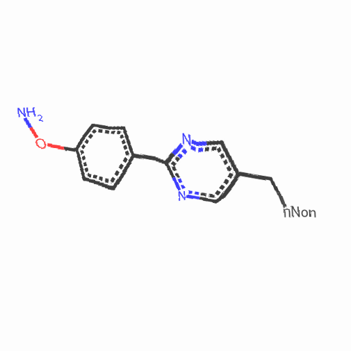 CCCCCCCCCCc1cnc(-c2ccc(ON)cc2)nc1